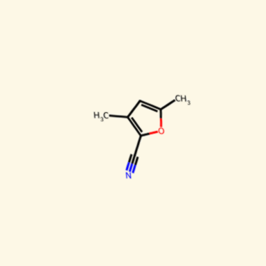 Cc1cc(C)c(C#N)o1